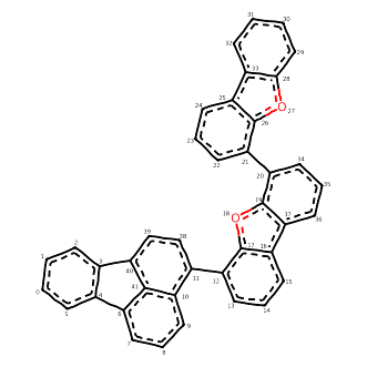 c1ccc2c(c1)-c1cccc3c(-c4cccc5c4oc4c(-c6cccc7c6oc6ccccc67)cccc45)ccc-2c13